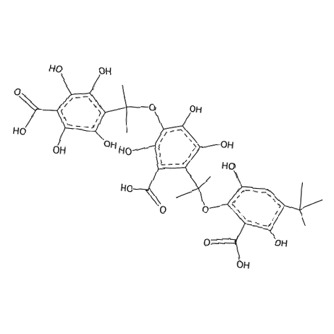 CC(C)(C)c1cc(O)c(OC(C)(C)c2c(O)c(O)c(OC(C)(C)c3c(O)c(O)c(C(=O)O)c(O)c3O)c(O)c2C(=O)O)c(C(=O)O)c1O